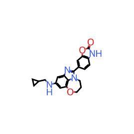 O=c1[nH]c2ccc(-c3nc4cc(NCC5CC5)cc5c4n3CCCO5)cc2o1